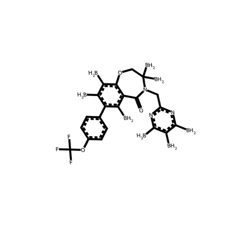 Bc1nc(CN2C(=O)c3c(B)c(-c4ccc(OC(F)(F)F)cc4)c(B)c(B)c3OCC2(B)B)nc(B)c1B